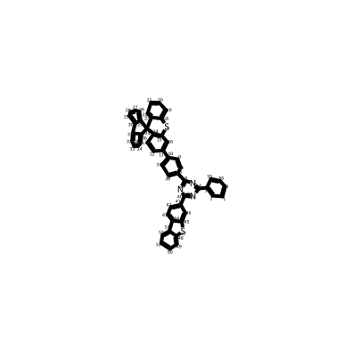 c1ccc(-c2nc(-c3ccc(-c4ccc5c(c4)Sc4ccccc4C54c5ccccc5-c5ccccc54)cc3)nc(-c3ccc4c(c3)sc3ccccc34)n2)cc1